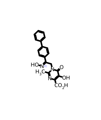 Cc1nc(C(=O)O)c(O)c(=O)n1C/C(=N/O)c1ccc(-c2ccccc2)cc1